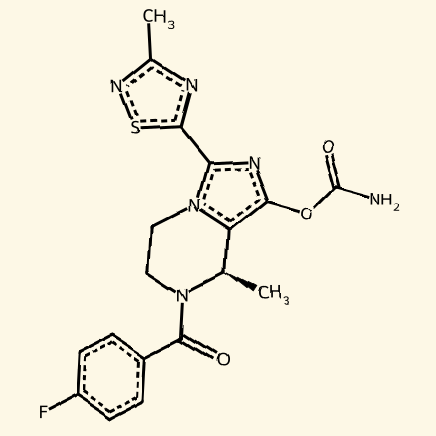 Cc1nsc(-c2nc(OC(N)=O)c3n2CCN(C(=O)c2ccc(F)cc2)[C@@H]3C)n1